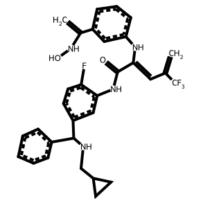 C=C(NO)c1cccc(N/C(=C\C(=C)C(F)(F)F)C(=O)Nc2cc(C(NCC3CC3)c3ccccc3)ccc2F)c1